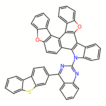 c1ccc2c(-c3ccc4c(c3)sc3ccccc34)nc(-n3c4ccccc4c4c5oc6ccccc6c5c5c(ccc6oc7ccccc7c65)c43)nc2c1